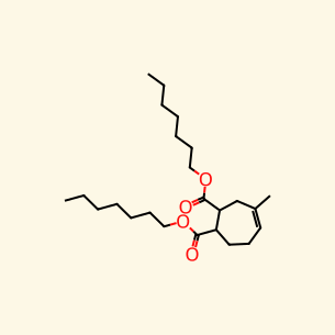 CCCCCCCOC(=O)C1CCC=C(C)CC1C(=O)OCCCCCCC